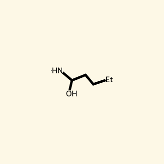 CCCCC([NH])O